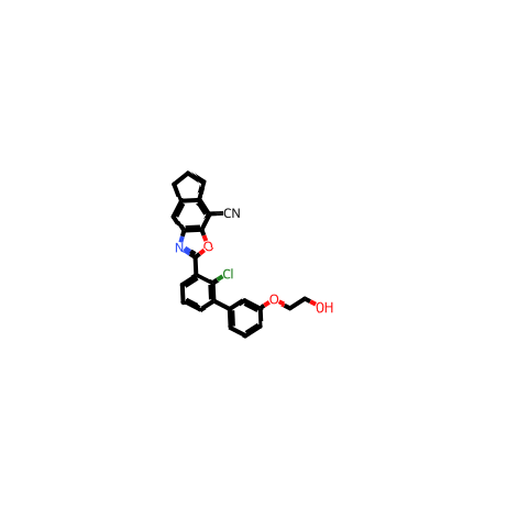 N#Cc1c2c(cc3nc(-c4cccc(-c5cccc(OCCO)c5)c4Cl)oc13)CCC2